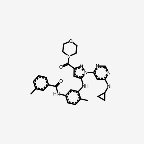 Cc1cccc(C(=O)Nc2ccc(C)c(Nc3cc(C(=O)N4CCOCC4)nn3-c3cc(NC4CC4)ncn3)c2)c1